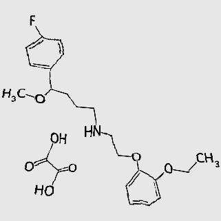 CCOc1ccccc1OCCNCCCC(OC)c1ccc(F)cc1.O=C(O)C(=O)O